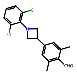 Cc1cc(C2CN(c3c(Cl)cccc3Cl)C2)cc(C)c1C=O